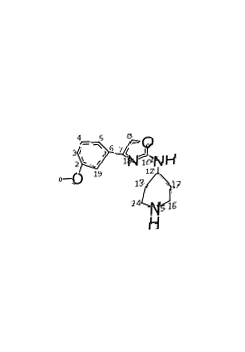 COc1cccc(-c2coc(NC3CCNCC3)n2)c1